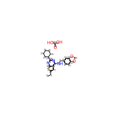 CCc1cc2c(NCc3ccc4c(c3)OCO4)nc(C3CCCCC3)nc2s1.O=C(O)O